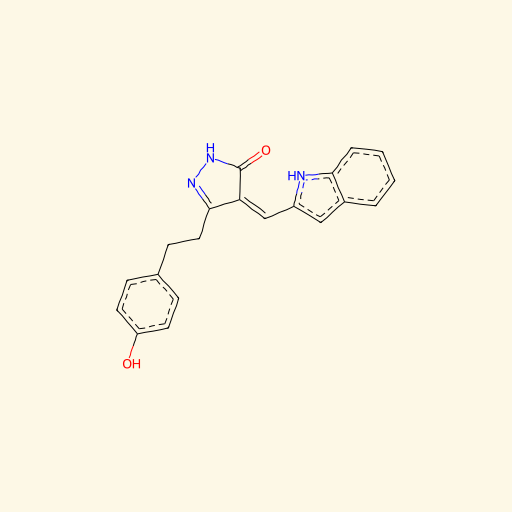 O=C1NN=C(CCc2ccc(O)cc2)C1=Cc1cc2ccccc2[nH]1